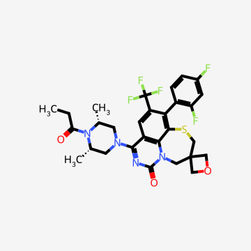 CCC(=O)N1[C@H](C)CN(c2nc(=O)n3c4c(c(-c5ccc(F)cc5F)c(C(F)(F)F)cc24)SCC2(COC2)C3)C[C@@H]1C